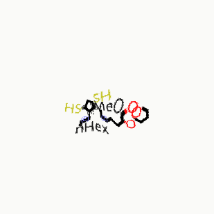 CCCCCC/C=C/[C@@H]1[C@@H](C/C=C\CCC(OC2CCCCO2)C(=O)OC)[C@@H](S)C[C@H]1S